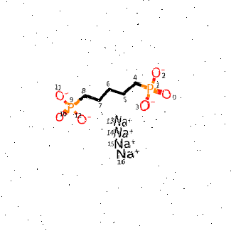 O=P([O-])([O-])CCCCCP(=O)([O-])[O-].[Na+].[Na+].[Na+].[Na+]